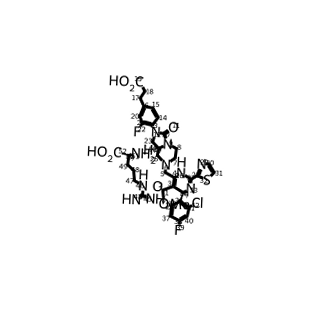 COC(=O)C1=C(CN2CCN3C(=O)N(c4ccc(CCC(=O)O)cc4F)C[C@@H]3C2)NC(c2nccs2)=N[C@H]1c1ccc(F)cc1Cl.N=C(N)NCCC[C@H](N)C(=O)O